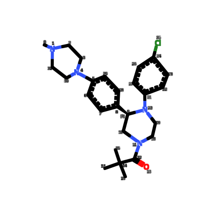 CN1CCN(c2ccc([C@@H]3CN(C(=O)C(C)(C)C)CCN3c3ccc(Cl)cc3)cc2)CC1